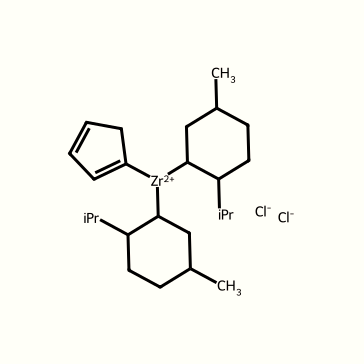 CC1CCC(C(C)C)[CH]([Zr+2]([C]2=CC=CC2)[CH]2CC(C)CCC2C(C)C)C1.[Cl-].[Cl-]